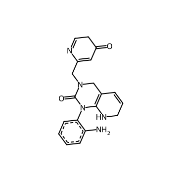 Nc1ccccc1N1C(=O)N(CC2=CC(=O)CC=N2)CC2=C1NCC=C2